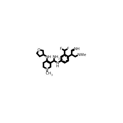 CNCC(C=N)c1ccc(NC(N)C2=C(NC3CCOC3)CCN(C)C2)cc1C(F)F